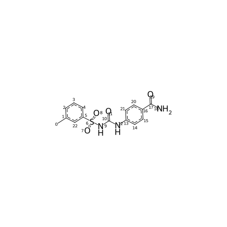 Cc1cccc(S(=O)(=O)NC(=O)Nc2ccc(C(N)=O)cc2)c1